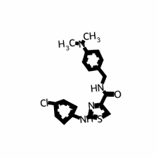 CN(C)c1ccc(CNC(=O)c2csc(Nc3ccc(Cl)cc3)n2)cc1